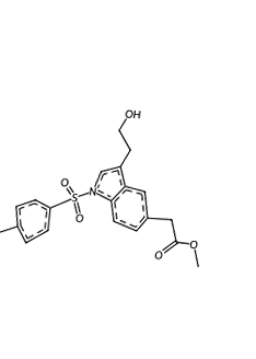 COC(=O)Cc1ccc2c(c1)c(CCO)cn2S(=O)(=O)c1ccc(C)cc1